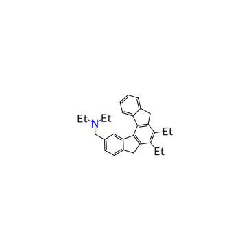 CCc1c(CC)c2c(c3c1Cc1ccccc1-3)-c1cc(CN(CC)CC)ccc1C2